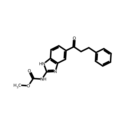 COC(=O)Nc1nc2cc(C(=O)CCc3ccccc3)ccc2[nH]1